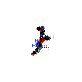 CC(C)c1ccccc1[C@@H]1CCCN1C1CC2(CCN(c3ccc(C(=O)NS(=O)(=O)c4cc([N+](=O)[O-])c(NCC5(F)CCN(C6CC(=O)C6)CC5)c5[nH]cnc45)c(Oc4cnc5[nH]ccc5c4)c3)CC2)C1